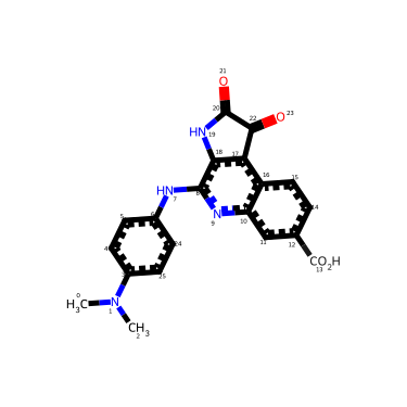 CN(C)c1ccc(Nc2nc3cc(C(=O)O)ccc3c3c2NC(=O)C3=O)cc1